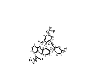 NC(=O)c1cccc2c1c1[c]cc(-c3ccc(Cl)cc3Cl)cc1n2Cc1cccc(OC(F)F)c1